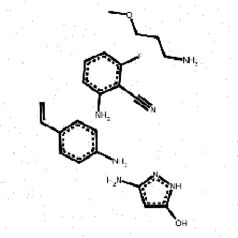 C=Cc1ccc(N)cc1.COCCCN.N#Cc1c(N)cccc1F.Nc1cc(O)[nH]n1